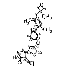 Cc1nn(CC2(C)COC2)c(C)c1-c1ccnc(O[C@@H]2CCN(c3cn[nH]c(=O)c3Cl)C2)c1